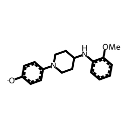 COc1ccccc1NC1CCN(c2ccc([O])cc2)CC1